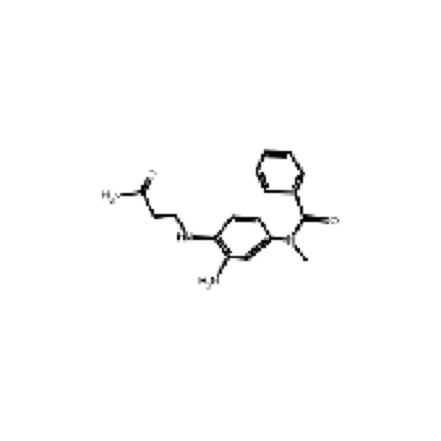 CN(C(=O)c1ccccc1)c1ccc(NCCC(N)=O)c(N)c1